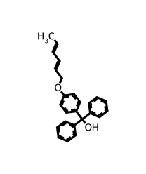 CC=CC=CCOc1ccc(C(O)(c2ccccc2)c2ccccc2)cc1